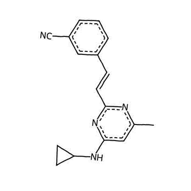 Cc1cc(NC2CC2)nc(C=Cc2cccc(C#N)c2)n1